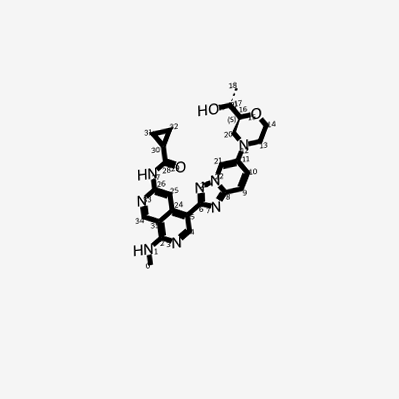 CNc1ncc(-c2nc3ccc(N4CCO[C@H]([C@@H](C)O)C4)cn3n2)c2cc(NC(=O)C3CC3)ncc12